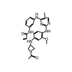 C=CC(=O)Nc1cccc(Nc2nc(Nc3ccc(NC4CN(C(C)=O)C4)cc3OC)ncc2C)c1